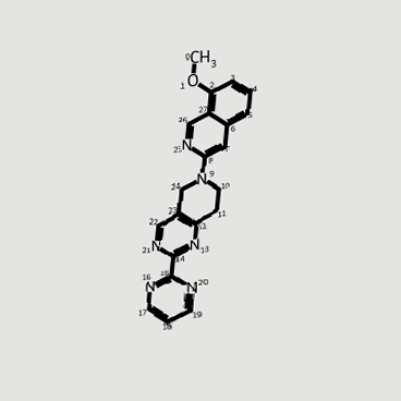 COc1cccc2cc(N3CCc4nc(-c5ncccn5)ncc4C3)ncc12